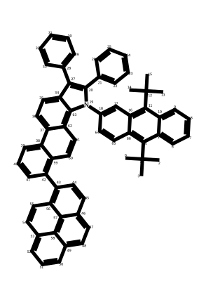 CC(C)(C)c1c2ccccc2c(C(C)(C)C)c2cc(-n3c(-c4ccccc4)c(-c4ccccc4)c4ccc5c6cccc(-c7ccc8ccc9cccc%10ccc7c8c9%10)c6ccc5c43)ccc12